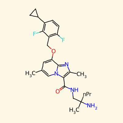 CCCC(C)(N)CNC(=O)c1c(C)nc2c(OCc3c(F)ccc(C4CC4)c3F)cc(C)cn12